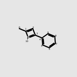 CC1=CC(c2ccccc2)=P1